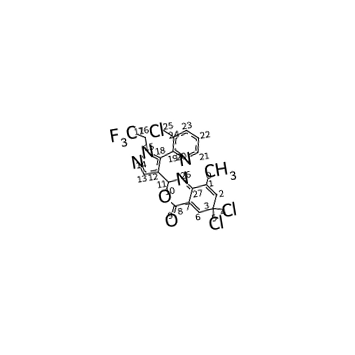 CC1=CC(Cl)(Cl)C=C2C(=O)OC(c3cnn(CC(F)(F)F)c3-c3ncccc3Cl)N=C12